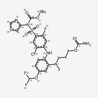 CN(CCCOC(N)=O)c1cc(OC(F)F)ccc1Nc1cc(F)c(S(=O)(=O)N(C(=O)OC(C)(C)C)c2cscn2)cc1Cl